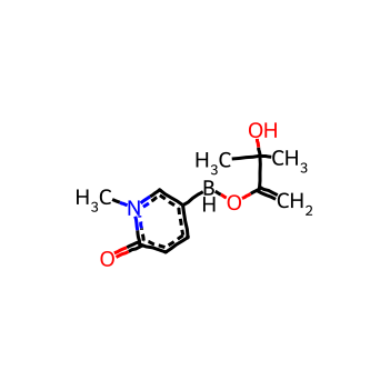 C=C(OBc1ccc(=O)n(C)c1)C(C)(C)O